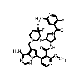 COc1nccc(-c2cc(CN3CCC(F)(F)CC3)c3c(N)ncnn23)c1C(=O)N[C@@H]1CN(C(=O)c2cc(C)ncc2F)C[C@@H]1F